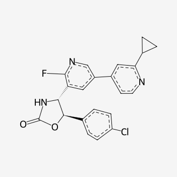 O=C1N[C@H](c2cc(-c3ccnc(C4CC4)c3)cnc2F)[C@@H](c2ccc(Cl)cc2)O1